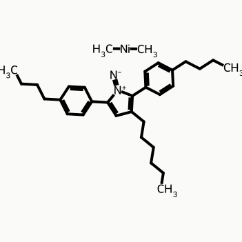 CCCCCCC1=C(c2ccc(CCCC)cc2)[N+](=[N-])C(c2ccc(CCCC)cc2)=C1.[CH3][Ni][CH3]